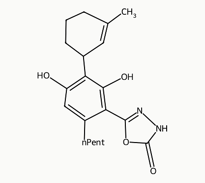 CCCCCc1cc(O)c(C2C=C(C)CCC2)c(O)c1-c1n[nH]c(=O)o1